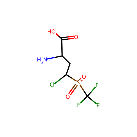 NC(CC(Cl)S(=O)(=O)C(F)(F)F)C(=O)O